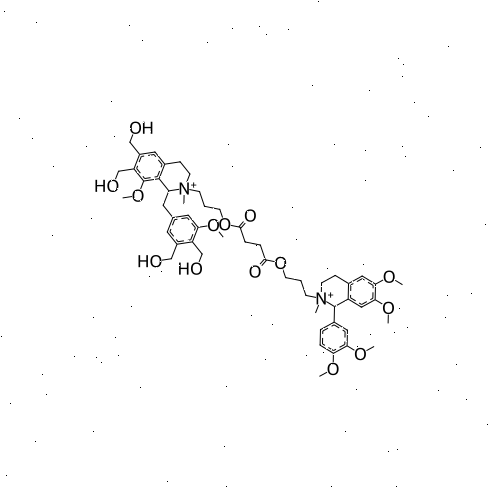 COc1ccc(C2c3cc(OC)c(OC)cc3CC[N+]2(C)CCCOC(=O)CCC(=O)OCCC[N+]2(C)CCc3cc(CO)c(CO)c(OC)c3C2Cc2cc(CO)c(CO)c(OC)c2)cc1OC